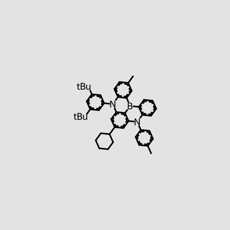 Cc1ccc(N2c3ccccc3B3c4cc(C)ccc4N(c4cc(C(C)(C)C)cc(C(C)(C)C)c4)c4cc(C5CCCCC5)cc2c43)cc1